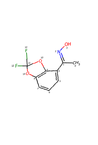 CC(=NO)c1cccc2c1OC(F)(F)O2